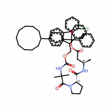 C[C@H](CC(=O)OC(c1ccccc1)(c1ccc(C2CCCCCCCCC2)cc1)c1ccccc1Cl)NC(=O)[C@@H]1CCCN1C(=O)C(C)(C)NC(=O)OCC1c2ccccc2-c2ccccc21